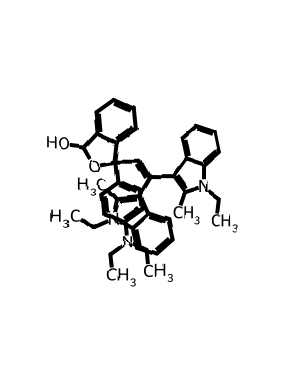 CCN(CC)c1ccc(C2(C=C(c3c(C)n(CC)c4ccccc34)c3c(C)n(CC)c4ccccc34)OC(O)c3ccccc32)cc1